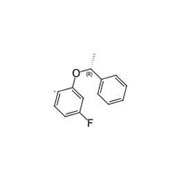 C[C@@H](Oc1[c]ccc(F)c1)c1ccccc1